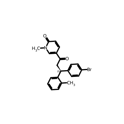 Cc1ccccc1[C@@H](CC(=O)c1ccc(=O)n(C)c1)c1ccc(Br)cc1